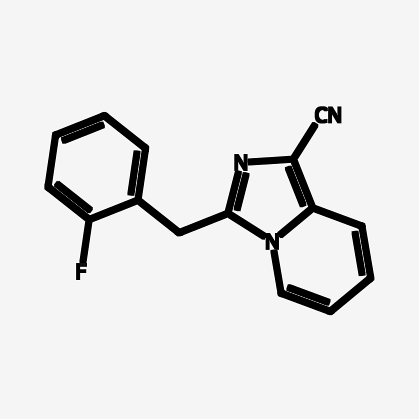 N#Cc1nc(Cc2ccccc2F)n2ccccc12